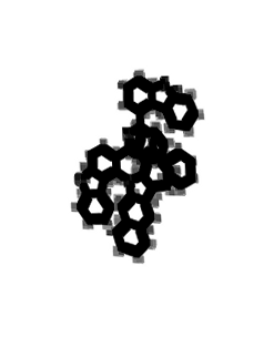 c1ccc(-c2nc(-c3ccc4oc5ccccc5c4c3-n3c4cc5ccccc5cc4c4ccc5ccccc5c43)nc(-c3cccc4sc5ccccc5c34)n2)cc1